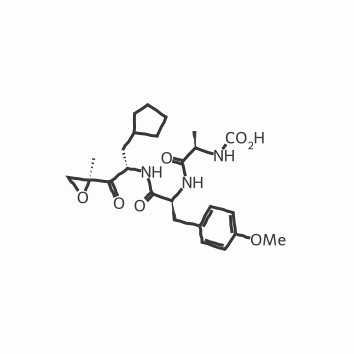 COc1ccc(C[C@H](NC(=O)[C@@H](C)NC(=O)O)C(=O)N[C@@H](CC2CCCC2)C(=O)[C@]2(C)CO2)cc1